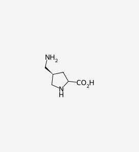 NC[C@@H]1CNC(C(=O)O)C1